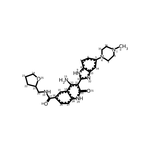 CN1CCN(c2ccc3[nH]c(-c4c(N)c5cc(C(=O)NCC6CCCO6)ccc5[nH]c4=O)nc3c2)CC1